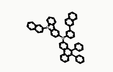 c1ccc(-c2c(-c3ccccc3)c3cc(N(c4cccc(-c5ccc6ccccc6c5)c4)c4ccc5c(c4)c4ccccc4n5-c4ccc5ccccc5c4)ccc3c3ccccc23)cc1